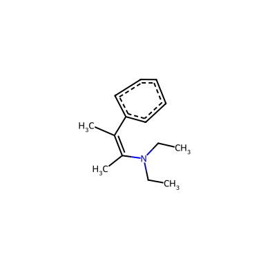 CCN(CC)C(C)=C(C)c1ccccc1